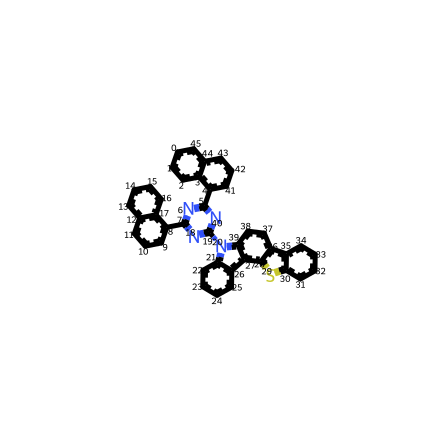 c1ccc2c(-c3nc(-c4cccc5ccccc45)nc(-n4c5ccccc5c5c6sc7ccccc7c6ccc54)n3)cccc2c1